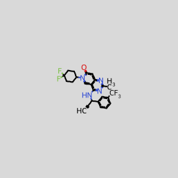 C#CC(Nc1nc(C)nc2cc(=O)n(C3CCC(F)(F)CC3)cc12)c1cccc(C(F)(F)F)c1